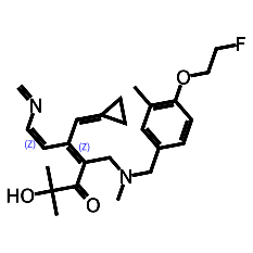 C=N/C=C\C(C=C1CC1)=C(\CN(C)Cc1ccc(OCCF)c(C)c1)C(=O)C(C)(C)O